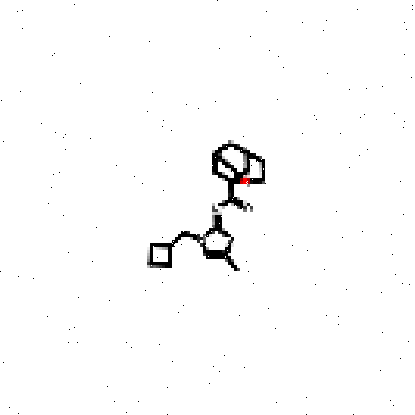 Cc1cn(CC2CCC2)/c(=N/C(=O)C23CC4CC(CC(C4)O2)C3)s1